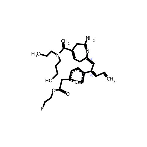 C=C/C=C(\C=C1/CC=C(C(=C)N(CCC)CCCO)CC(N)=N1)c1ccc(CC(=O)OCCF)cc1